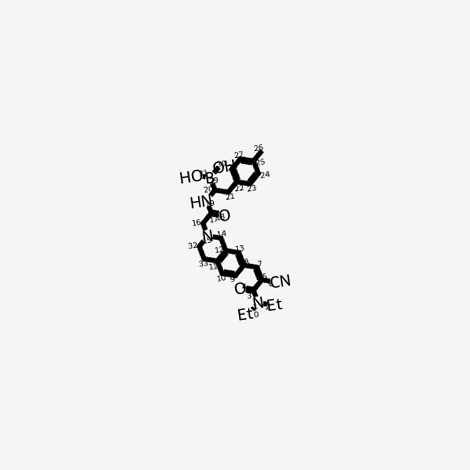 CCN(CC)C(=O)C(C#N)=Cc1ccc2c(c1)CN(CC(=O)NC(Cc1ccc(C)cc1)B(O)O)CC2